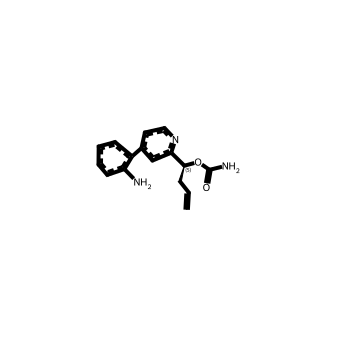 C=CC[C@H](OC(N)=O)c1cc(-c2ccccc2N)ccn1